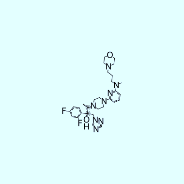 C[C@@H](N1CCN(c2cccc(N(C)CCCN3CCOCC3)n2)CC1)[C@](O)(Cn1cncn1)c1ccc(F)cc1F